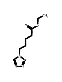 CCOC(=O)CCCCn1cnnn1